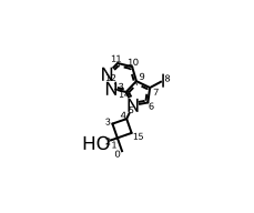 CC1(O)CC(n2cc(I)c3ccnnc32)C1